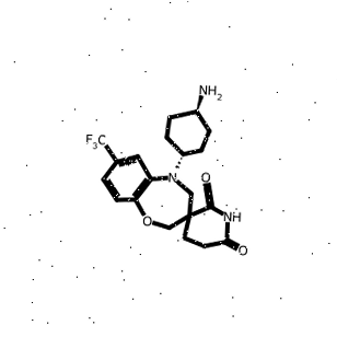 N[C@H]1CC[C@H](N2CC3(CCC(=O)NC3=O)COc3ccc(C(F)(F)F)cc32)CC1